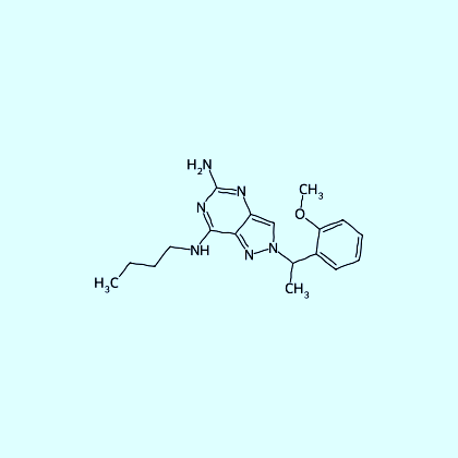 CCCCNc1nc(N)nc2cn(C(C)c3ccccc3OC)nc12